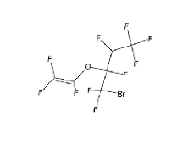 FC(F)=C(F)OC(F)(C(F)C(F)(F)F)C(F)(F)Br